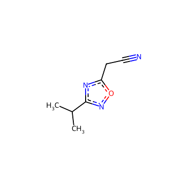 CC(C)c1noc(CC#N)n1